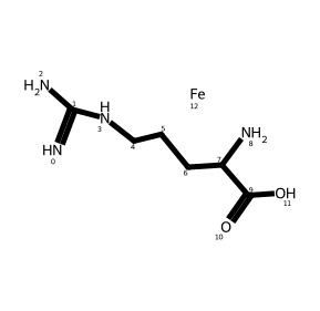 N=C(N)NCCCC(N)C(=O)O.[Fe]